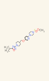 COOSN1CCN(c2ccc(OCC3CCN(c4noc(C(C)C)n4)CC3)cn2)CC1